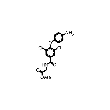 COC(=O)CNC(=O)c1cc(Cl)c(Oc2ccc(N)cc2)c(Cl)c1